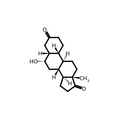 C[C@]12CC[C@@H]3[C@H]4CCC(=O)C[C@H]4[C@@H](O)C[C@H]3[C@@H]1CCC2=O